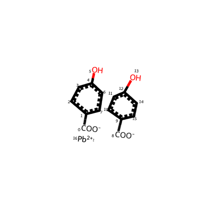 O=C([O-])c1ccc(O)cc1.O=C([O-])c1ccc(O)cc1.[Pb+2]